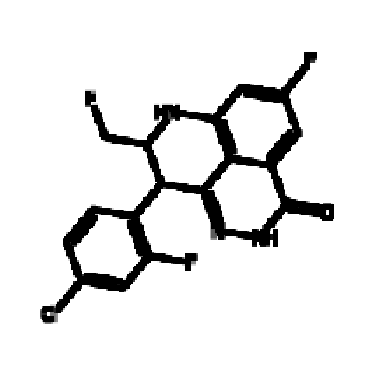 O=c1[nH]nc2c3c(cc(F)cc13)NC(CF)C2c1ccc(Cl)cc1F